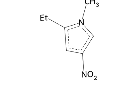 CCc1cc([N+](=O)[O-])cn1C